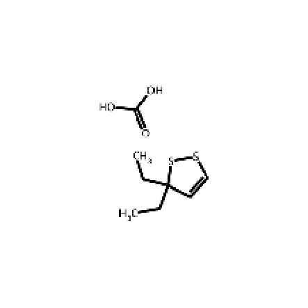 CCC1(CC)C=CSS1.O=C(O)O